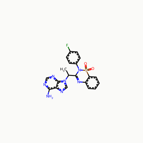 CC(C1=Nc2ccccc2S(=O)(=O)N1c1ccc(F)cc1)n1cnc2c(N)ncnc21